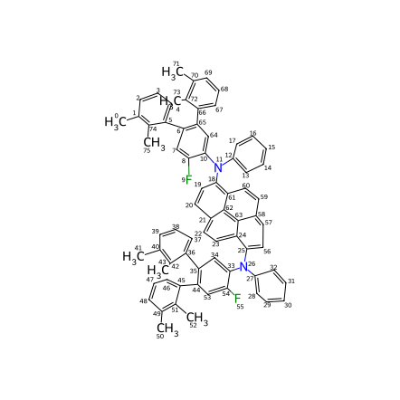 Cc1cccc(-c2cc(F)c(N(c3ccccc3)c3ccc4ccc5c(N(c6ccccc6)c6cc(-c7cccc(C)c7C)c(-c7cccc(C)c7C)cc6F)ccc6ccc3c4c65)cc2-c2cccc(C)c2C)c1C